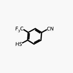 N#Cc1ccc(S)c(C(F)(F)F)c1